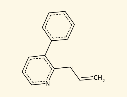 C=C[CH]c1ncccc1-c1ccccc1